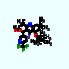 CC(C)c1nc2c(c(I)c1C(O)c1ccc(C(F)(F)F)nc1)[C@@H](O[Si](C)(C)C(C)(C)C)CC(C)(C)C2